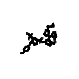 CCN1CCN(Cc2ccc(C(=O)Nc3ccc(C)c(N(c4cc(NC5CC5)ncn4)c4ncc[nH]4)c3)cc2C(F)(F)F)CC1